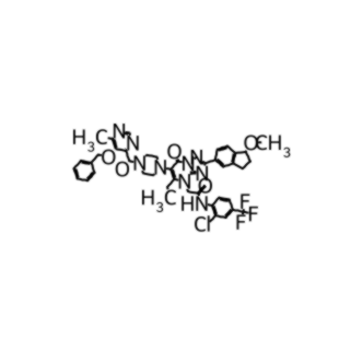 CCc1c(N2CCN(C(=O)c3ncnc(C)c3OCc3ccccc3)CC2)c(=O)n2nc(-c3ccc4c(c3)CC[C@@H]4OC)nc2n1CC(=O)Nc1ccc(C(F)(F)F)cc1Cl